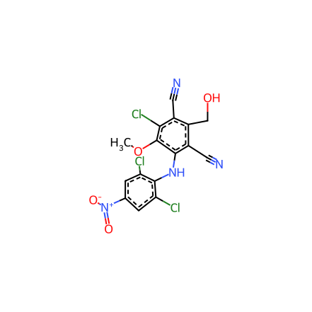 COc1c(Cl)c(C#N)c(CO)c(C#N)c1Nc1c(Cl)cc([N+](=O)[O-])cc1Cl